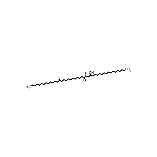 CCCCCCCCCCCCCCCC[C@H](O)CNC(=O)CCCCCCCCCCC(=O)CCCCCCCCCCCCC